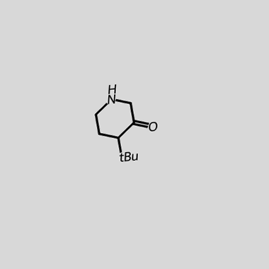 CC(C)(C)C1CCNCC1=O